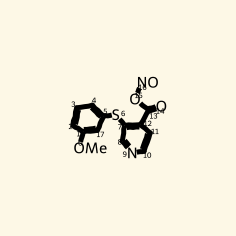 COc1cccc(Sc2cnccc2C(=O)ON=O)c1